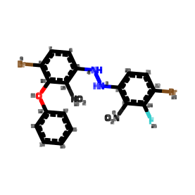 O=[N+]([O-])c1c(NNc2ccc(Br)c(Oc3ccccc3)c2[N+](=O)[O-])ccc(Br)c1F